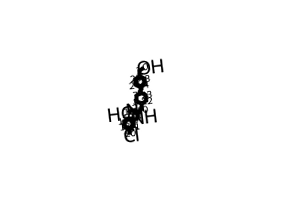 OCc1ccc(C2CCC(CC(=NO)Nc3cccc(Cl)c3)CC2)cc1